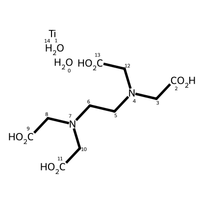 O.O.O=C(O)CN(CCN(CC(=O)O)CC(=O)O)CC(=O)O.[Ti]